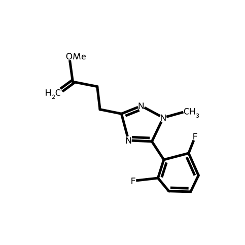 C=C(CCc1nc(-c2c(F)cccc2F)n(C)n1)OC